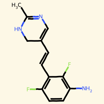 CC1=NC=C(C=Cc2c(F)ccc(N)c2F)CN1